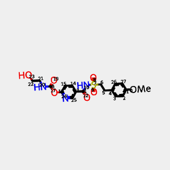 COc1ccc(CCS(=O)(=O)NC(=O)c2ccc(OC(=O)NCCO)nc2)cc1